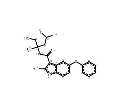 Cc1oc2ccc(Sc3ccccc3)cc2c1C(=O)NC(C)(CO)CC(F)F